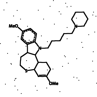 COC1=CC2SCCC3c4cc(OC)ccc4N(CCCCCN4CCCCC4)C3C2CC1